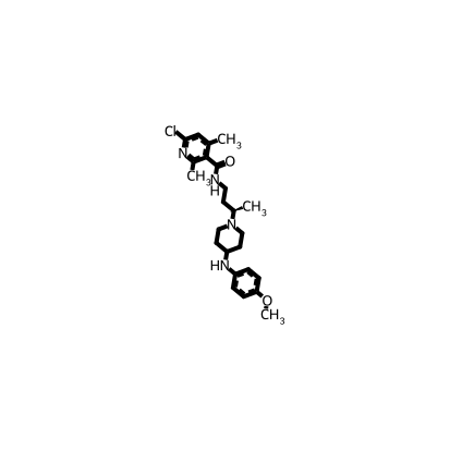 COc1ccc(NC2CCN([C@H](C)CCNC(=O)c3c(C)cc(Cl)nc3C)CC2)cc1